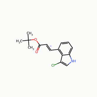 CC(C)(C)OC(=O)/C=C/c1cccc2[nH]cc(Cl)c12